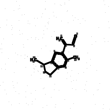 C=C(C=O)c1cc2c(cc1C)CCC2C